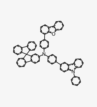 c1ccc(-n2c3ccccc3c3cc(-c4ccc(N(c5ccc(-c6cccc7c6oc6ccccc67)cc5)c5ccc6c(c5)C5(c7ccccc7-c7ccccc75)c5ccccc5-6)cc4)ccc32)cc1